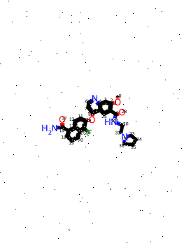 COc1cc2nccc(Oc3ccc4c(C(N)=O)cccc4c3F)c2cc1C(=O)NCCN1CCCC1